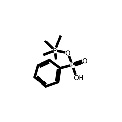 CP(C)(C)(C)OP(=O)(O)c1ccccc1